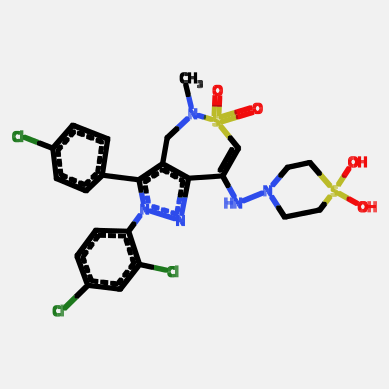 CN1Cc2c(nn(-c3ccc(Cl)cc3Cl)c2-c2ccc(Cl)cc2)C(NN2CCS(O)(O)CC2)=CS1(=O)=O